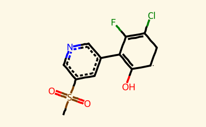 CS(=O)(=O)c1cncc(C2=C(O)[CH]CC(Cl)=C2F)c1